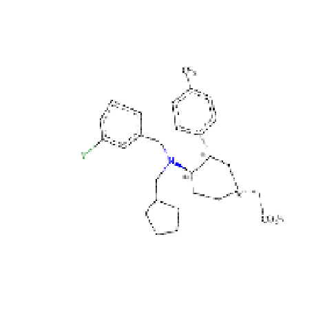 O=C(O)C[C@@H]1CC[C@@H](N(Cc2cccc(F)c2)CC2CCCC2)[C@H](c2ccc(C(F)(F)F)cc2)C1